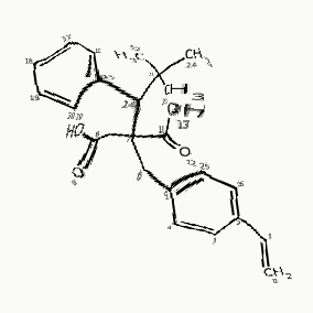 C=Cc1ccc(CC(C(=O)O)(C(=O)O)C(c2ccccc2)C(C)(C)C)cc1